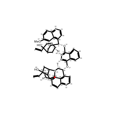 C=CC1(O)CN2CCC1C[C@@H]2[C@@H](Oc1nnc(O[C@H](c2ccnc3ccc(CO)cc23)[C@@H](C)N2CC[C@@H]3C2CC3(O)C=C)c2ccccc12)c1ccnc2ccc(OC)cc12